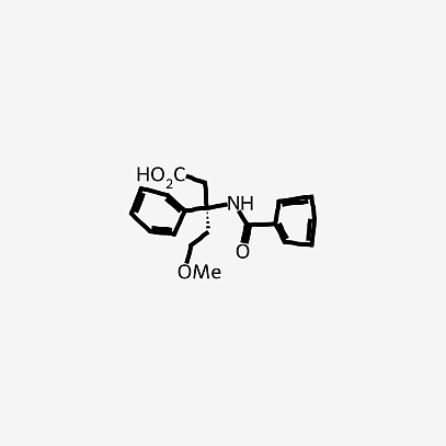 COCC[C@](CC(=O)O)(NC(=O)c1ccccc1)c1ccccc1